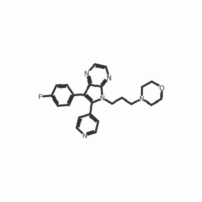 Fc1ccc(-c2c(-c3ccncc3)n(CCCN3CCOCC3)c3nccnc23)cc1